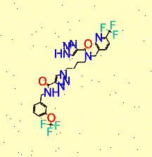 O=C(NCc1cccc(OC(F)(F)F)c1)c1cn(CCCCN(Cc2ccc(C(F)(F)F)nc2)C(=O)c2c[nH]nn2)nn1